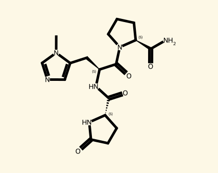 Cn1cncc1C[C@H](NC(=O)[C@@H]1CCC(=O)N1)C(=O)N1CCC[C@H]1C(N)=O